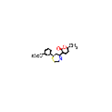 COc1cccc(C2CC(c3ccc(C)oc3=O)=NCCS2)c1